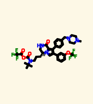 CN1CCN(Cc2ccc(-c3c(-c4cccc(OC(F)(F)F)c4)cn4c3C(=O)NC[C@@H]4CCCN(C(=O)OC(=O)C(F)(F)F)C(C)(C)C)cc2)CC1